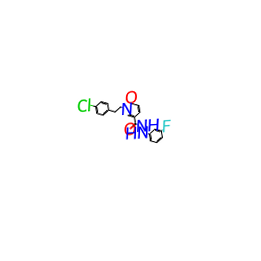 O=C(NNc1cccc(F)c1)c1ccc(=O)n(CCc2ccc(Cl)cc2)c1